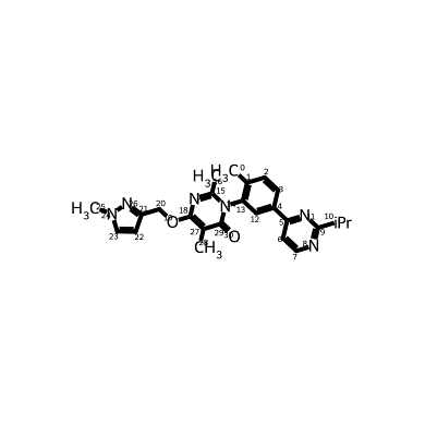 Cc1ccc(-c2ccnc(C(C)C)n2)cc1-n1c(C)nc(OCc2ccn(C)n2)c(C)c1=O